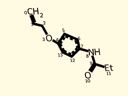 C=CCOc1ccc(NC(=O)CC)cc1